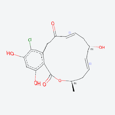 C[C@@H]1C/C=C/[C@@H](O)C/C=C/C(=O)Cc2c(Cl)c(O)cc(O)c2C(=O)O1